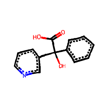 O=C(O)C(O)(c1ccccc1)c1cccnc1